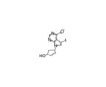 OC1C=CC(n2cc(I)c3c(Cl)ncnc32)C1